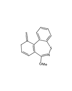 COC1=NSc2ccccc2C2=C1C=CCC2=S